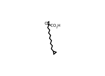 O=C(O)C1(CCCCCCCCCC2CC2)CO1